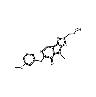 COc1cccc(Cn2ncc3c4sc(CCO)nc4n(C)c3c2=O)c1